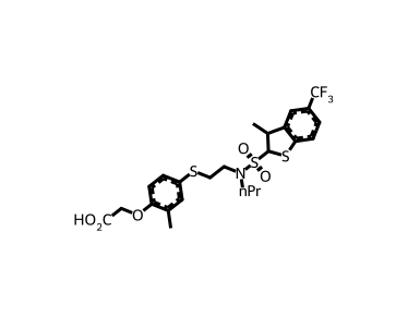 CCCN(CCSc1ccc(OCC(=O)O)c(C)c1)S(=O)(=O)C1Sc2ccc(C(F)(F)F)cc2C1C